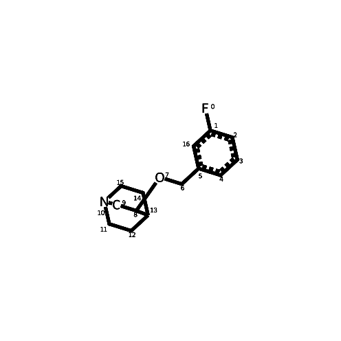 Fc1cccc(COC2CN3CCC2CC3)c1